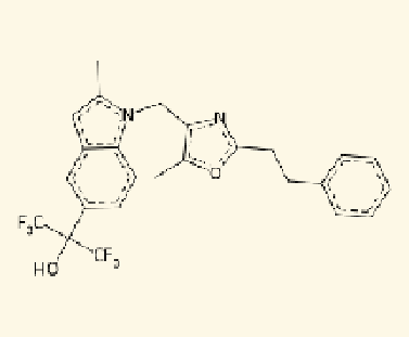 Cc1oc(CCc2ccccc2)nc1Cn1c(C)cc2cc(C(O)(C(F)(F)F)C(F)(F)F)ccc21